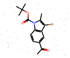 CC(=O)c1ccc2c(c1)c(Br)c(C)n2C(=O)OC(C)(C)C